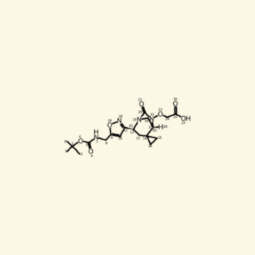 CC(C)(C)OC(=O)NCc1cc([C@@H]2CC3(CC3)[C@@H]3CN2C(=O)N3OCC(=O)O)no1